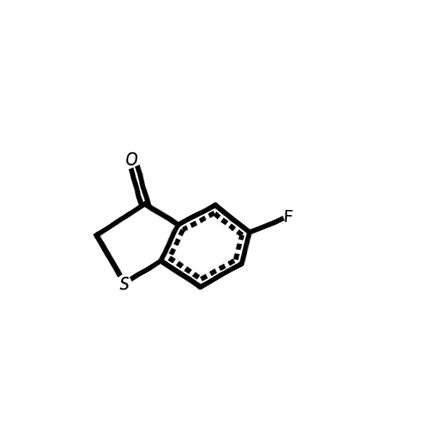 O=C1CSc2ccc(F)cc21